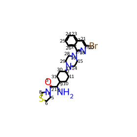 NC(C(=O)N1CCSC1)C1CCC(N2CCN(c3nc(Br)cc4ccccc34)CC2)CC1